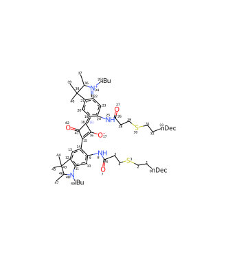 CCCCCCCCCCCCSCCC(=O)Nc1cc2c(cc1C1=C([O-])/C(=c3/cc4c(cc3NC(=O)CCSCCCCCCCCCCCC)=[N+](C(C)CC)C(C)C4(C)C)C1=O)C(C)(C)C(C)N2C(C)CC